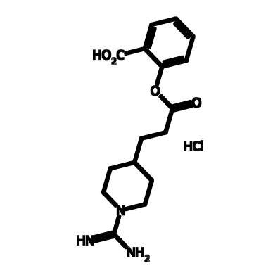 Cl.N=C(N)N1CCC(CCC(=O)Oc2ccccc2C(=O)O)CC1